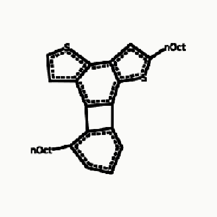 CCCCCCCCc1cc2c(s1)c1c(c3ccsc32)-c2c(CCCCCCCC)cccc2-1